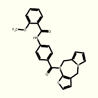 O=C(Nc1ccc(C(=O)N2Cc3cccn3Cc3ccsc32)cc1)c1ccccc1OC(F)(F)F